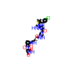 CC(=N)N1C(=N)[C@H](/C=C/C(=O)N2CCN(NC(=O)CCCCNc3cccc4c3C(=O)N(C3CCC(=O)NC3=O)C4=O)CC2)N=C(c2ccc(Cl)cc2)c2c1sc(C)c2C